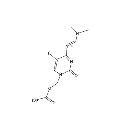 CN(C)/C=N/c1nc(=O)n(COC(=O)C(C)(C)C)cc1F